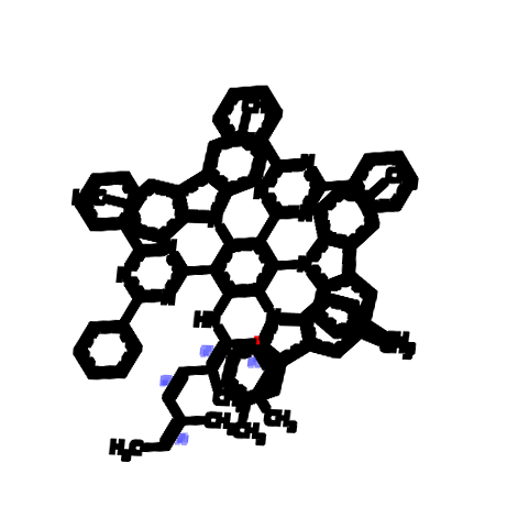 C\C=C(C)/C=C\C(C)=C(\C=C/CC)Nc1c(-c2nc(-c3ccccc3)nc(-c3ccccc3)n2)c(-n2c3ccc(C)cc3c3cc(C)ccc32)c(-c2nc(-c3ccccc3)nc(-c3ccccc3)n2)c(-n2c3ccc(C)cc3c3cc(C)ccc32)c1-n1c2ccc(C)cc2c2cc(C)ccc21